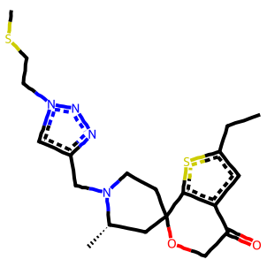 CCc1cc2c(s1)C1(CCN(Cc3cn(CCSC)nn3)[C@@H](C)C1)OCC2=O